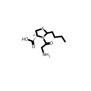 CCCCC1SC[C@@H](C(=O)O)N1C(=O)CN